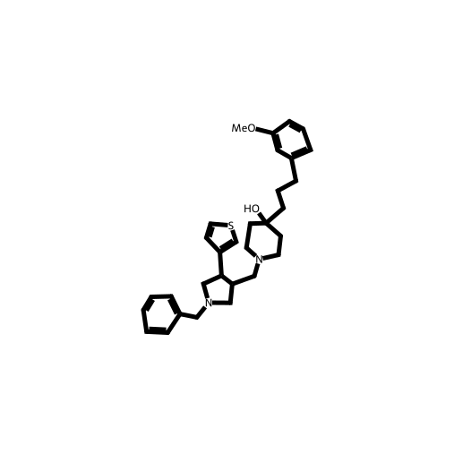 COc1cccc(CCCC2(O)CCN(CC3CN(Cc4ccccc4)CC3c3ccsc3)CC2)c1